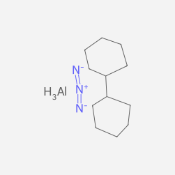 C1CCC(C2CCCCC2)CC1.[AlH3].[N-]=[N+]=[N-]